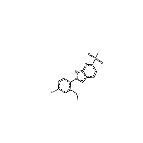 COc1cc(Cl)ccc1-n1cc2ccc(S(C)(=O)=O)nc2n1